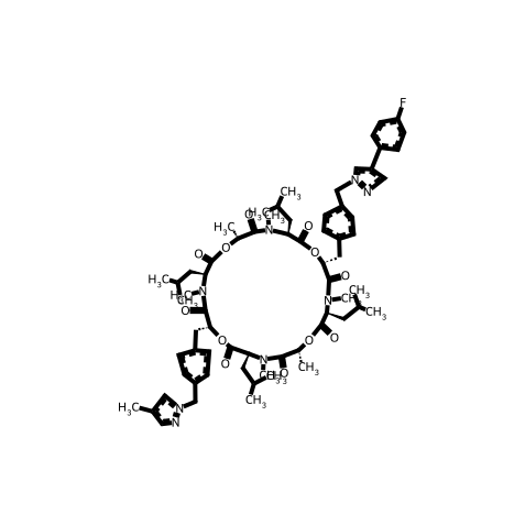 Cc1cnn(Cc2ccc(C[C@H]3OC(=O)[C@H](CC(C)C)N(C)C(=O)[C@@H](C)OC(=O)[C@H](CC(C)C)N(C)C(=O)[C@@H](Cc4ccc(Cn5cc(-c6ccc(F)cc6)cn5)cc4)OC(=O)[C@H](CC(C)C)N(C)C(=O)[C@@H](C)OC(=O)[C@H](CC(C)C)N(C)C3=O)cc2)c1